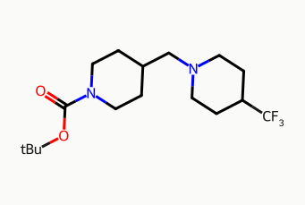 CC(C)(C)OC(=O)N1CCC(CN2CCC(C(F)(F)F)CC2)CC1